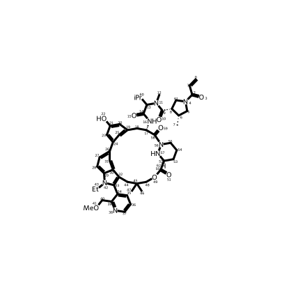 C=CC(=O)N1C[C@H](C)[C@H](C(=O)N(C)C(C(=O)N[C@H]2Cc3cc(O)cc(c3)-c3ccc4c(c3)c(c(-c3cccnc3COC)n4CC)CC(C)(C)COC(=O)[C@@H]3CCCN(N3)C2=O)C(C)C)C1